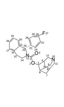 O=C(OC1C2CC3CC1CN(C3)C2)N1CCc2ccccc2[C@@H]1c1ccc(F)cc1